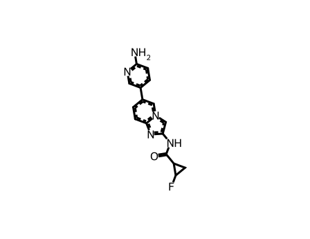 Nc1ccc(-c2ccc3nc(NC(=O)C4CC4F)cn3c2)cn1